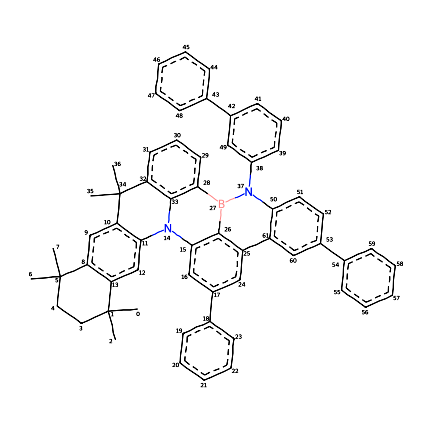 CC1(C)CCC(C)(C)c2cc3c(cc21)N1c2cc(-c4ccccc4)cc4c2B(c2cccc(c21)C3(C)C)N(c1cccc(-c2ccccc2)c1)c1ccc(-c2ccccc2)cc1-4